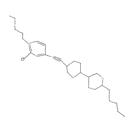 CCCCCc1ccc(C#CC2CCC(C3CCC(CCCCC)CC3)CC2)cc1Cl